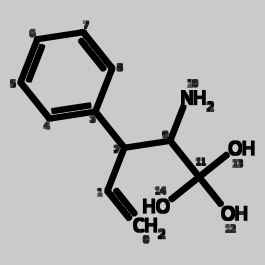 C=CC(c1ccccc1)C(N)C(O)(O)O